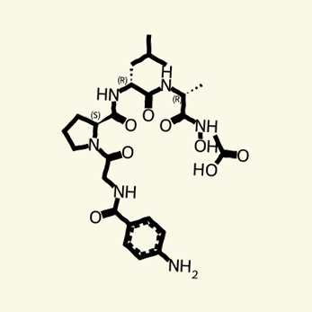 CC(=O)O.CC(C)C[C@@H](NC(=O)[C@@H]1CCCN1C(=O)CNC(=O)c1ccc(N)cc1)C(=O)N[C@H](C)C(=O)NO